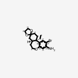 CC[C@@]12CCC3(C[C@@H]1CCOc1cc(N)c(Br)cc12)OCCO3